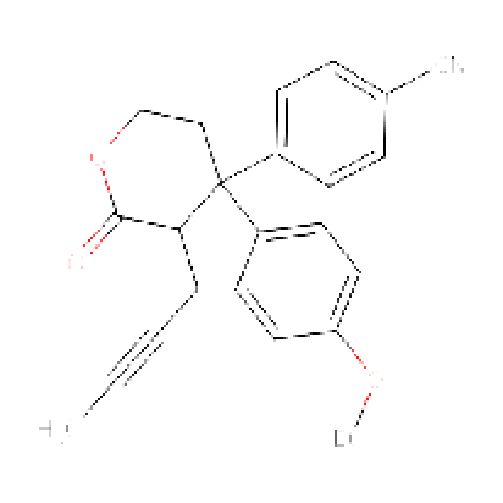 CC#CCC1C(=O)OCCC1(c1ccc(C#N)cc1)c1ccc(OCC)cc1